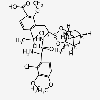 COc1ccc(C(N)C(=O)NC(Cc2c(C(C)(C)C)ccc(C(=O)O)c2OC)B2O[C@@H]3C[C@@H]4C[C@@H](C4(C)C)[C@]3(C)O2)c(Cl)c1OC